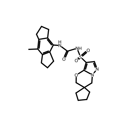 Cc1c2c(c(NC(=O)NS(=O)(=O)c3cnn4c3OCC3(CCCC3)C4)c3c1CCC3)CCC2